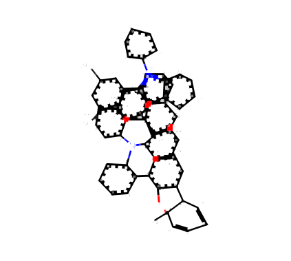 CC(C)(C)c1cc(-c2cccc3cccc(-c4ccccc4N(c4ccccc4-c4cccc5c4OC4(C)C=CC=CC54)c4ccccc4-c4cccc5c4c4ccccc4n5-c4ccccc4)c23)cc(C(C)(C)C)c1